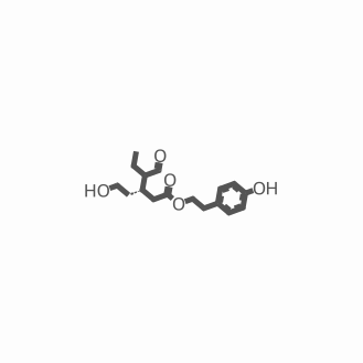 CCC(C=O)[C@@H](CCO)CC(=O)OCCc1ccc(O)cc1